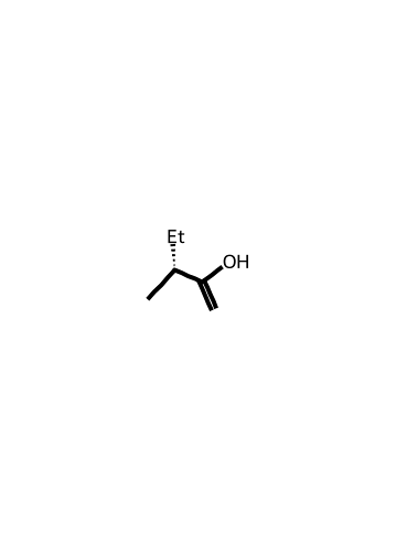 C=C(O)[C@H](C)CC